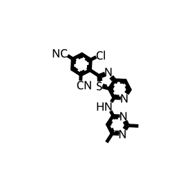 Cc1cc(Nc2nccc3nc(-c4c(Cl)cc(C#N)cc4C#N)sc23)nc(C)n1